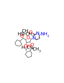 C[SiH](C)OC(C1CCCCC1)C1OC(n2ccc(N)nc2=O)C(O[Si](C)(C)C2CCCCC2)C1O